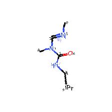 C/N=C/N(C)C(=O)NCC(C)C